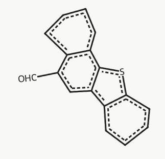 O=Cc1cc2c3ccccc3sc2c2ccccc12